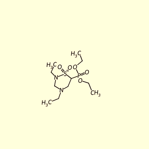 CCOP(=O)(OCC)C1CN(CC)CN(CC)S1(=O)=O